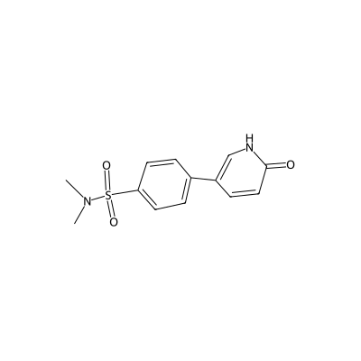 CN(C)S(=O)(=O)c1ccc(-c2ccc(=O)[nH]c2)cc1